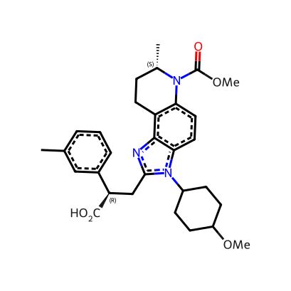 COC(=O)N1c2ccc3c(nc(C[C@@H](C(=O)O)c4cccc(C)c4)n3C3CCC(OC)CC3)c2CC[C@@H]1C